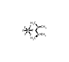 C=[N+](C)CN(C)C.F[P-](F)(F)(F)(F)F